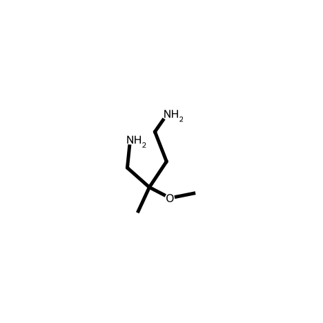 COC(C)(CN)CCN